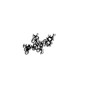 CC(C)(C)OC(=O)N[C@@H](CC(=O)N1C[C@H]2CC1C(=O)O2)C(=O)N1CC(Oc2nccc3cc(I)ccc23)C[C@H]1C(=O)CI